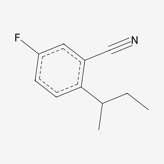 CCC(C)c1ccc(F)cc1C#N